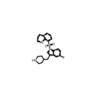 O=S(=O)(c1cccc2cccnc12)n1cc(CC2CCNCC2)c2cc(F)ccc21